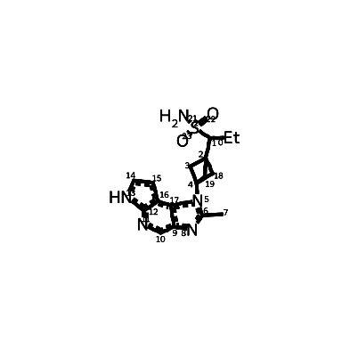 CCC(C12CC(n3c(C)nc4cnc5[nH]ccc5c43)(C1)C2)S(N)(=O)=O